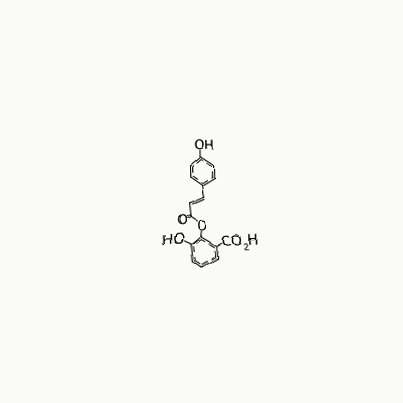 O=C(C=Cc1ccc(O)cc1)Oc1c(O)cccc1C(=O)O